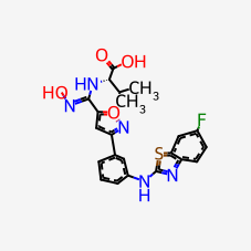 CC(C)[C@H](N/C(=N\O)c1cc(-c2cccc(Nc3nc4ccc(F)cc4s3)c2)no1)C(=O)O